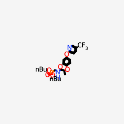 CCCCOP(=O)(CNC(=O)C(C)Oc1ccc(Oc2ccc(C(F)(F)F)cn2)cc1)OCCCC